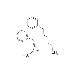 C=CC=CC=Cc1ccccc1.CC1CC1=Cc1ccccc1